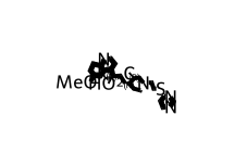 COc1ccc2nccc([C@H](O)CC[C@@H]3CCN(CCSc4ccncn4)C[C@@H]3C(=O)O)c2c1